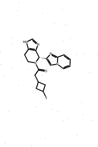 O=C(CC1CC(F)C1)N1CCc2[nH]cnc2[C@@H]1c1cn2ccccc2n1